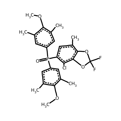 COc1c(C)cc(P(=O)(c2cc(C)c(OC)c(C)c2)c2cc(C)c3c(c2Cl)OC(F)(F)O3)cc1C